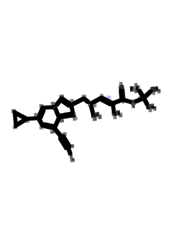 CC(C)(C)OC(=O)/C(N)=C/N(N)Cc1cn2cc(C3CC3)cc(C#CI)c2n1